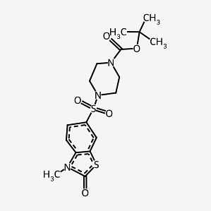 Cn1c(=O)sc2cc(S(=O)(=O)N3CCN(C(=O)OC(C)(C)C)CC3)ccc21